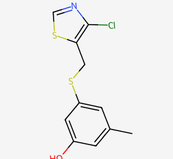 Cc1cc(O)cc(SCc2scnc2Cl)c1